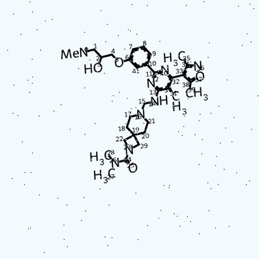 CNCC(O)COc1cccc(-c2nc(NCN3CCC4(CC3)CN(C(=O)N(C)C)C4)c(C)c(-c3c(C)noc3C)n2)c1